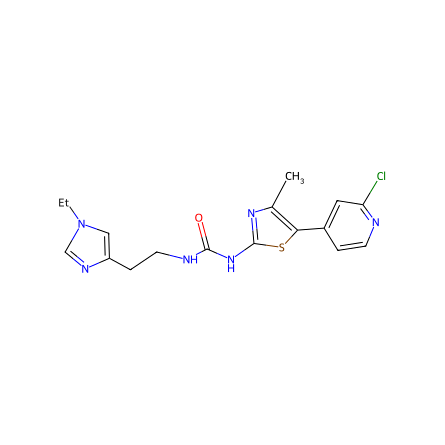 CCn1cnc(CCNC(=O)Nc2nc(C)c(-c3ccnc(Cl)c3)s2)c1